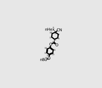 CCCCCC[C@]1(C#N)CC[C@@H](C(=O)Oc2ccc(OCCCC)cc2)CC1